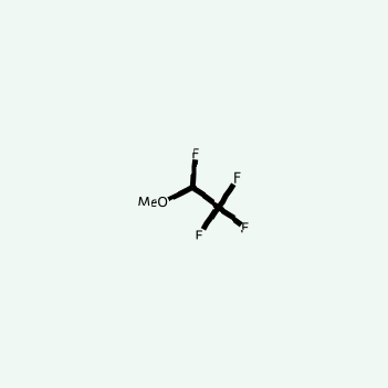 CO[C](F)C(F)(F)F